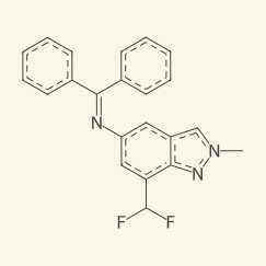 Cn1cc2cc(N=C(c3ccccc3)c3ccccc3)cc(C(F)F)c2n1